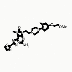 COCCOc1ccc(N2CCN(CCn3c(=O)n(C)c4c3nc(N)n3nc(-c5nccs5)nc43)CC2)c(F)c1